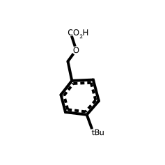 CC(C)(C)c1ccc(COC(=O)O)cc1